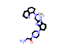 CN(Cc1nc2c(N3CCN(C(=O)CN)CC3)cccc2[nH]1)C1CCCc2cccnc21